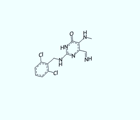 CNc1c(C=N)nc(NCc2c(Cl)cccc2Cl)[nH]c1=O